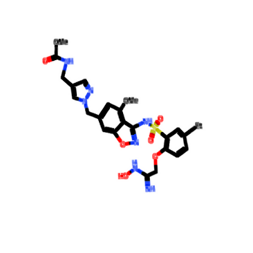 CCc1ccc(OCC(=N)NO)c(S(=O)(=O)Nc2noc3cc(Cn4cc(CNC(=O)OC)cn4)cc(OC)c23)c1